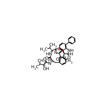 COC(=O)c1nc2oc1C13c4cc(ccc4O[C@@H]1Nc1c(-c4ccccc4)cccc13)C[C@H](NC(=O)[C@@H](O)C(C)C)C(=O)N[C@H]2C(C)C